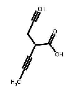 C#CCC(C#CC)C(=O)O